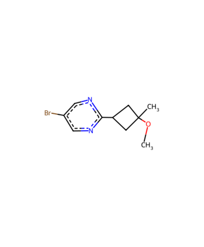 COC1(C)CC(c2ncc(Br)cn2)C1